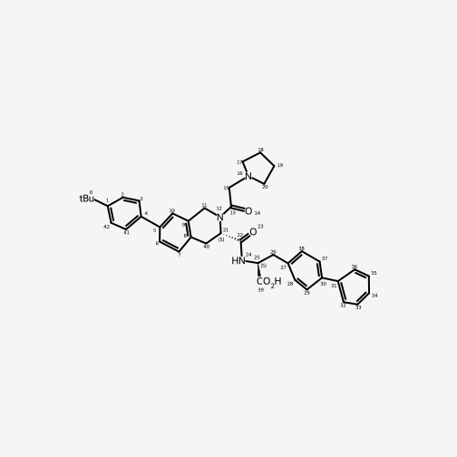 CC(C)(C)c1ccc(-c2ccc3c(c2)CN(C(=O)CN2CCCC2)[C@H](C(=O)N[C@@H](Cc2ccc(-c4ccccc4)cc2)C(=O)O)C3)cc1